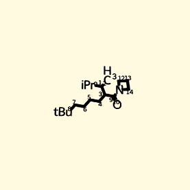 CC(C)C(C)C(CCCCC(C)(C)C)C(=O)N1CCC1